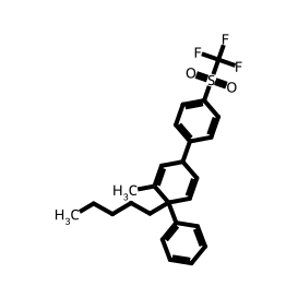 CCCCCC1(c2ccccc2)C=CC(c2ccc(S(=O)(=O)C(F)(F)F)cc2)C=C1C